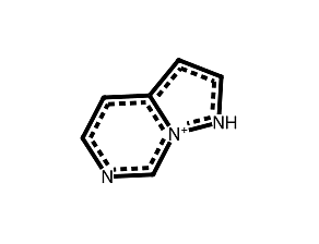 c1cc2cc[nH][n+]2cn1